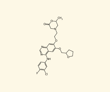 CC1CN(CCOc2cc3ncnc(Nc4ccc(F)c(Cl)c4)c3cc2OCC2CCCO2)CC(=O)O1